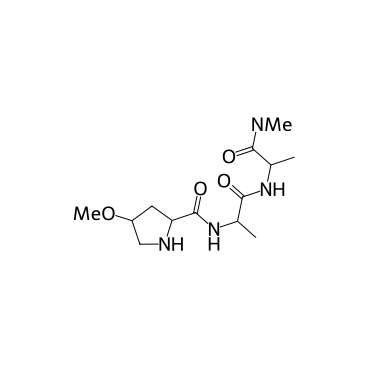 CNC(=O)C(C)NC(=O)C(C)NC(=O)C1CC(OC)CN1